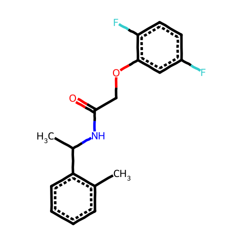 Cc1ccccc1C(C)NC(=O)COc1cc(F)ccc1F